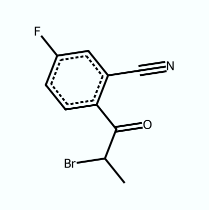 CC(Br)C(=O)c1ccc(F)cc1C#N